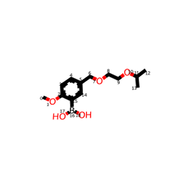 COc1ccc(COCCOC(C)C)cc1B(O)O